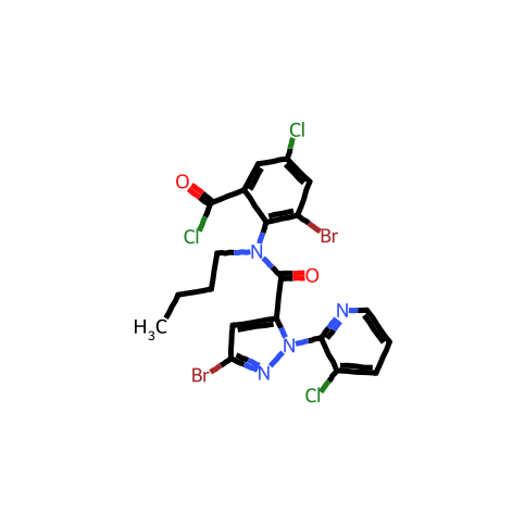 CCCCN(C(=O)c1cc(Br)nn1-c1ncccc1Cl)c1c(Br)cc(Cl)cc1C(=O)Cl